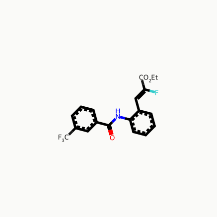 CCOC(=O)C(F)=Cc1ccccc1NC(=O)c1cccc(C(F)(F)F)c1